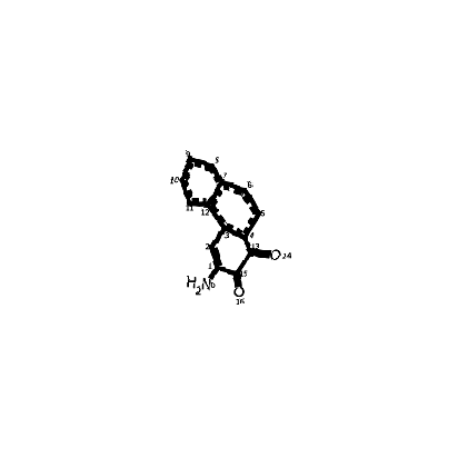 NC1=Cc2c(ccc3ccccc23)C(=O)C1=O